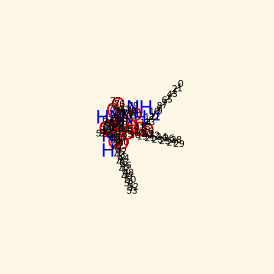 CCCCCCCCCCCCCCCC(=O)O[C@H](CCCCCCCCCCC)CC(=O)OC[C@H]1OC(OC(=O)CCCCCCCCCCCCC)[C@H](NC(C)=O)[C@H](OC(C)C(=O)N[C@@H](C)C(=O)N[C@H](CCC(=O)OC)C(N)=O)[C@@H]1O